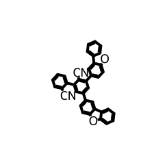 N#Cc1ccccc1-c1cc(-c2ccc3oc4ccccc4c3c2)cc(-c2ccc3oc4ccccc4c3c2)c1C#N